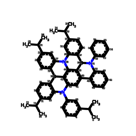 CC(C)c1cccc(N2c3cc(C(C)C)ccc3B3c4ccc(C(C)C)cc4N4c5cc(C(C)C)ccc5B5c6c(cc2c3c64)-c2ccccc2N5c2ccccc2)c1